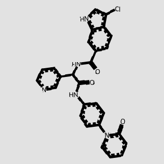 O=C(NC(C(=O)Nc1ccc(-n2ccccc2=O)cc1)c1cccnc1)c1ccc2c(Cl)c[nH]c2c1